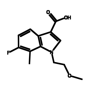 COCCn1cc(C(=O)O)c2ccc(F)c(C)c21